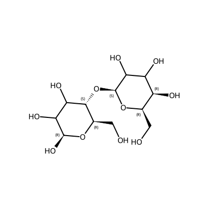 OC[C@H]1O[C@@H](O[C@H]2C(O)C(O)[C@H](O)O[C@@H]2CO)C(O)C(O)[C@H]1O